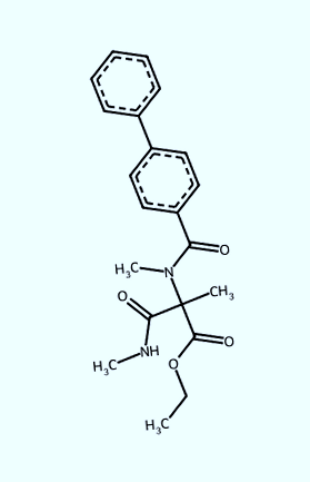 CCOC(=O)C(C)(C(=O)NC)N(C)C(=O)c1ccc(-c2ccccc2)cc1